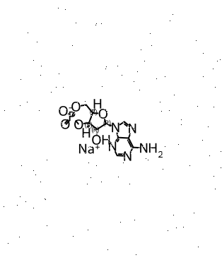 Nc1ncnc2c1ncn2[C@@H]1O[C@@H]2COP(=O)([O-])O[C@H]2[C@H]1O.[Na+]